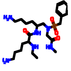 CCNC(CCCCN)C(=O)NC(CCCCN)CN(CC(=O)NC)S(=O)(=O)Cc1ccccc1